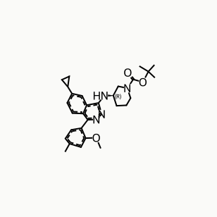 COc1cc(C)ccc1-c1nnc(N[C@@H]2CCCN(C(=O)OC(C)(C)C)C2)c2cc(C3CC3)ccc12